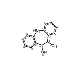 OC1c2ccccc2Nc2ccccc2C1O